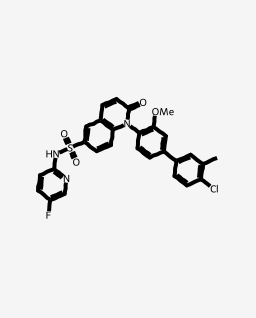 COc1cc(-c2ccc(Cl)c(C)c2)ccc1-n1c(=O)ccc2cc(S(=O)(=O)Nc3ccc(F)cn3)ccc21